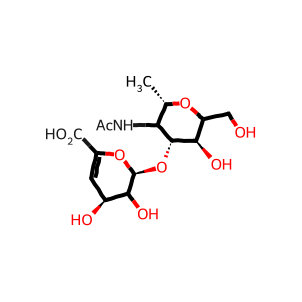 CC(=O)NC1[C@H](C)OC(CO)[C@@H](O)[C@@H]1O[C@@H]1OC(C(=O)O)=C[C@H](O)C1O